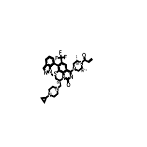 C=CC(=O)N1[C@H](C)CN(c2nc(=O)n3c4c(c(-c5cccc6cnn(C)c56)c(C(F)(F)F)cc24)SC[C@@H]3CN2CCN(C3CC3)CC2)C[C@@H]1C